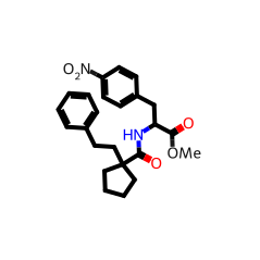 COC(=O)C(Cc1ccc([N+](=O)[O-])cc1)NC(=O)C1(CCc2ccccc2)CCCC1